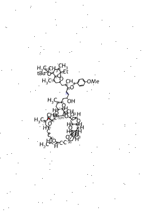 C=C1C[C@@H]2CC[C@@]34C[C@@H]5O[C@H]6[C@@H](O3)[C@H]3O[C@H](CC[C@@H]3O[C@H]6[C@@]5(C)O4)CC(=O)O[C@@H]3[C@@H](C)[C@@H]4O[C@H](CC(O)/C=C/[C@@H](OCc5ccc(OC)cc5)[C@@H](C)CC(=O)C[C@H](C)[C@@H]5O[C@H](CC)[C@H](C)C[C@@H]5O[Si](C)(C)C(C)(C)C)[C@H](C)C[C@@H]4O[C@H]3C[C@H]3O[C@@H](CC[C@@H]1O2)C[C@@H](C)C3=C